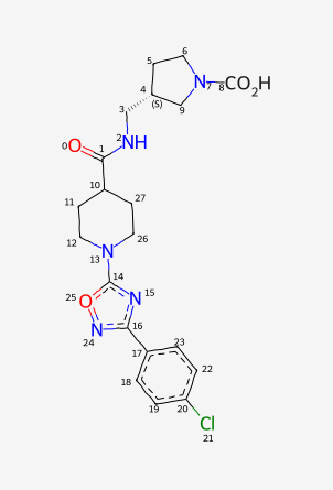 O=C(NC[C@@H]1CCN(C(=O)O)C1)C1CCN(c2nc(-c3ccc(Cl)cc3)no2)CC1